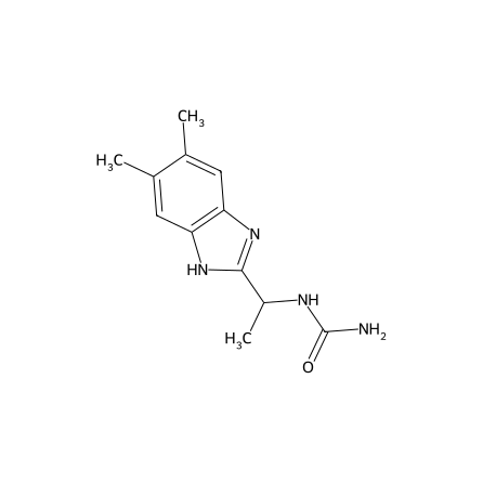 Cc1cc2nc(C(C)NC(N)=O)[nH]c2cc1C